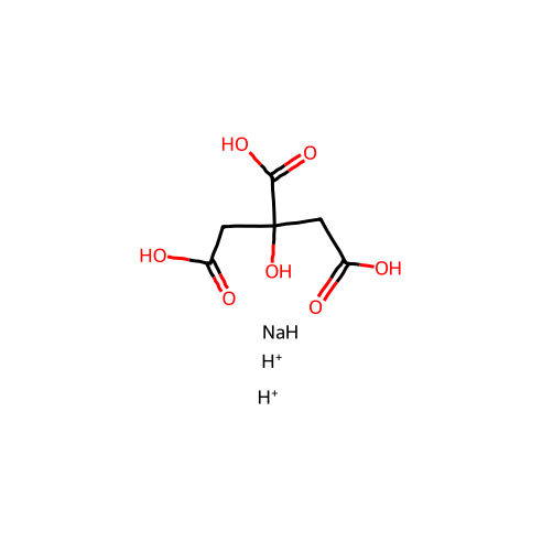 O=C(O)CC(O)(CC(=O)O)C(=O)O.[H+].[H+].[NaH]